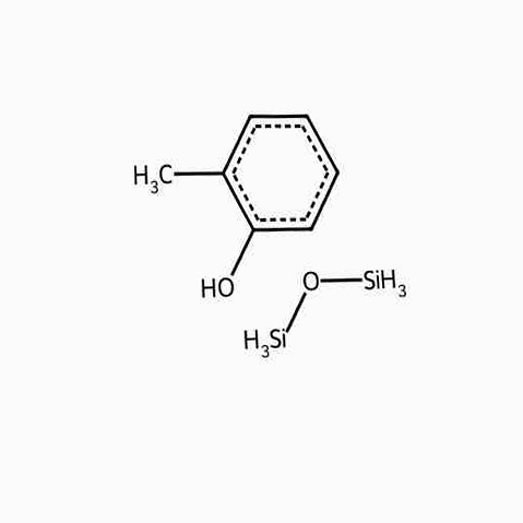 Cc1ccccc1O.[SiH3]O[SiH3]